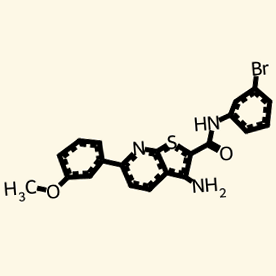 COc1cccc(-c2ccc3c(N)c(C(=O)Nc4cccc(Br)c4)sc3n2)c1